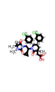 CN1C(=O)N(CC(C2CC2)N2C(=O)[C@@](C)(CC(=O)O)C[C@H](c3cccc(Cl)c3)[C@H]2c2ccc(Cl)cc2)C(=O)C1(C)C